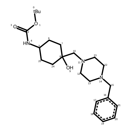 CC(C)(C)OC(=O)NC1CCC(O)(CN2CCN(Cc3ccccc3)CC2)CC1